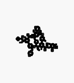 CCN(C(=O)C1CCC1)c1cc(-c2ccc(CN3CCOCC3)cc2)cc(C(=O)NCc2c(CC3CCC(C(=O)N(CC)c4cc(-c5ccc(OCCN6CCOCC6)cc5C)cc(C(=O)NCc5c(C)cc(C)[nH]c5=O)c4C)C3)cc(C)[nH]c2=O)c1C